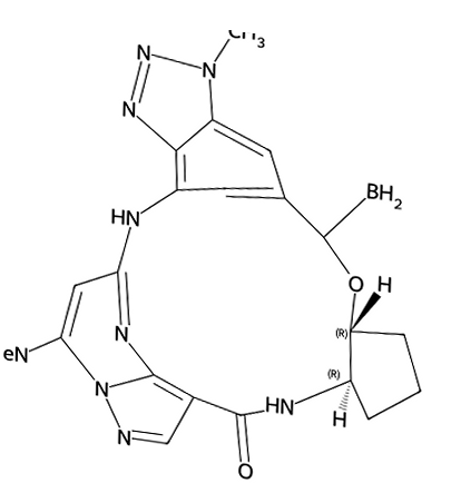 BC1O[C@@H]2CCC[C@H]2NC(=O)c2cnn3c(NC)cc(nc23)Nc2cc1cc1c2nnn1C